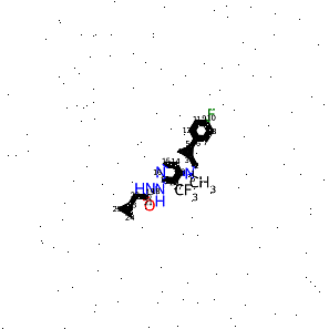 CN(CC1CC1c1ccc(F)cc1)c1ccnc(NNC(=O)CC2CC2)c1C(F)(F)F